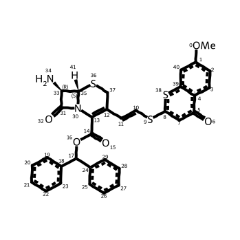 COc1ccc2c(=O)cc(SC=CC3=C(C(=O)OC(c4ccccc4)c4ccccc4)N4C(=O)[C@@H](N)[C@@H]4SC3)sc2c1